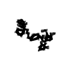 COc1ccc([C@H](Cc2c(Cl)cncc2Cl)OC(=O)c2ccc(CCCNC(C(=O)O[C@H]3CN4CCC3CC4)c3ccccc3)cc2)cc1OC